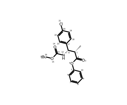 C[C@H](C(=O)Oc1ccccc1)[C@H](NC(=O)OC(C)(C)C)c1ccc(Cl)cc1